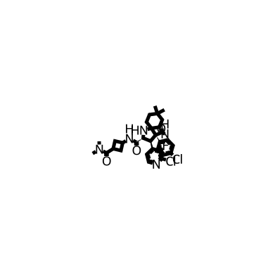 CN(C)C(=O)C1CC(NC(=O)[C@@H]2NC3(CCC(C)(C)CC3)[C@@]3(C(=O)Nc4cc(Cl)ccc43)[C@H]2c2ccnc(Cl)c2F)C1